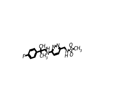 CC(C)(CNc1ccc(CNS(C)(=O)=O)nn1)c1ccc(F)cc1